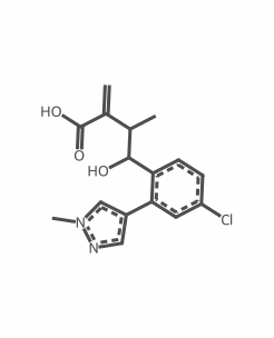 C=C(C(=O)O)C(C)C(O)c1ccc(Cl)cc1-c1cnn(C)c1